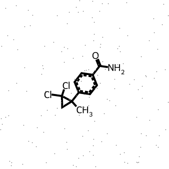 CC1(c2ccc(C(N)=O)cc2)CC1(Cl)Cl